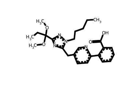 CCCCCn1nc(C(CC)(OC)OC)nc1Cc1ccc(-c2ccccc2C(=O)O)nc1